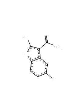 CC(=O)c1oc2ccc(Br)cc2c1C(N)=O